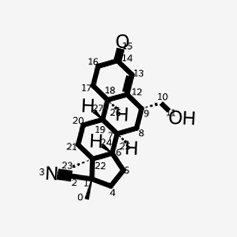 C[C@]1(C#N)CC[C@H]2[C@@H]3C[C@@H](CO)C4=CC(=O)CC[C@@H]4[C@H]3CC[C@@]21C